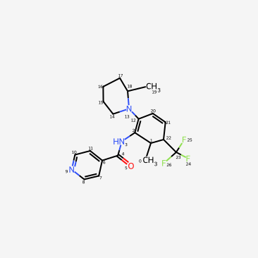 CC1C(NC(=O)c2ccncc2)=C(N2CCCCC2C)C=CC1C(F)(F)F